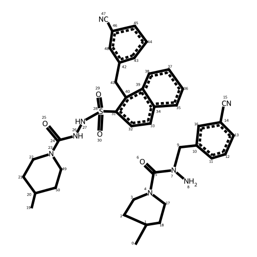 CC1CCN(C(=O)N(N)Cc2cccc(C#N)c2)CC1.CC1CCN(C(=O)NNS(=O)(=O)c2ccc3ccccc3c2Cc2cccc(C#N)c2)CC1